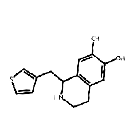 Oc1cc2c(cc1O)C(Cc1ccsc1)NCC2